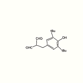 CC(C)(C)c1cc(CC([C]=O)[C]=O)cc(C(C)(C)C)c1O